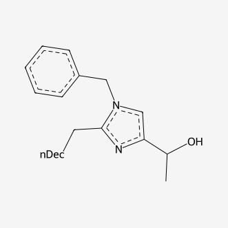 CCCCCCCCCCCc1nc(C(C)O)cn1Cc1ccccc1